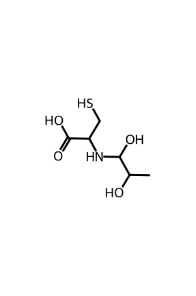 CC(O)C(O)NC(CS)C(=O)O